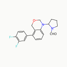 O=CN1CCCC1N1[CH]OCc2c(-c3ccc(F)c(F)c3)cccc21